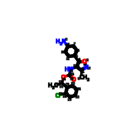 Cc1noc(-c2ccc(N)cc2)c1NC(=O)O[C@H](C)c1ccccc1Cl